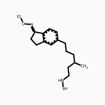 CCO/N=C1\CCc2cc(CCCC(C)CCNS)ccc21